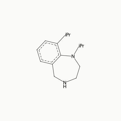 CC(C)c1cccc2c1N(C(C)C)CCNC2